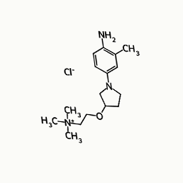 Cc1cc(N2CCC(OCC[N+](C)(C)C)C2)ccc1N.[Cl-]